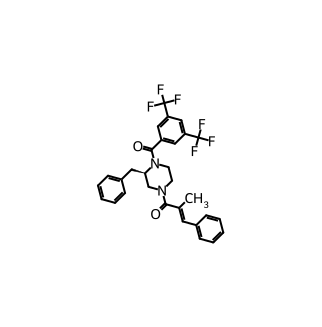 C/C(=C\c1ccccc1)C(=O)N1CCN(C(=O)c2cc(C(F)(F)F)cc(C(F)(F)F)c2)[C@H](Cc2ccccc2)C1